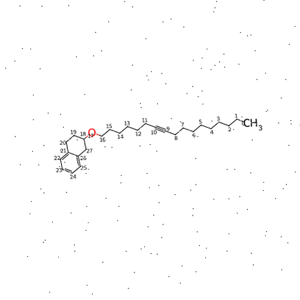 CCCCCCCCCC#CCCCCCCOC1CCc2ccccc2C1